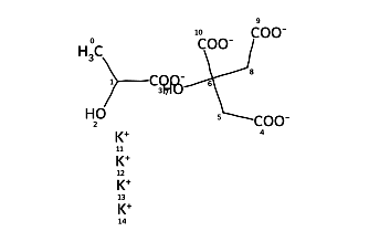 CC(O)C(=O)[O-].O=C([O-])CC(O)(CC(=O)[O-])C(=O)[O-].[K+].[K+].[K+].[K+]